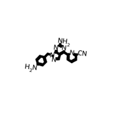 N#Cc1cccc(-c2nc(N)nc3c2cnn3Cc2ccc(N)cc2)n1